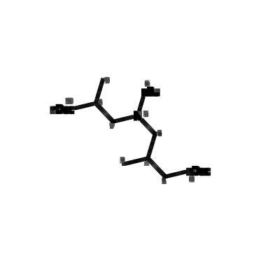 CCCCCCCCCCCC(C)CN(CCCC)CC(C)CCCCCCCCCC